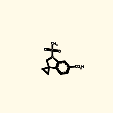 CS(=O)(=O)N1CC2(CC2)c2ccc(C(=O)O)cc21